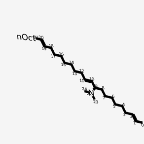 CC=CCCCCCCC(C=CCCCCCCCC=CCCCCCCCC)N(C)C